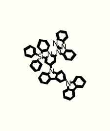 c1ccc([Si](c2ccccc2)(c2ccccc2)c2cc(-n3c4ccccc4c4cc(-n5c6ccccc6c6ccccc65)ccc43)cc(-n3c4ccccc4n4c5ccccc5nc34)n2)cc1